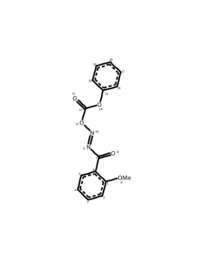 COc1ccccc1C(=O)N=NOC(=O)Oc1ccccc1